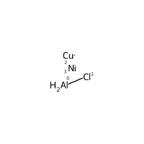 [AlH2][Cl].[Cu].[Ni]